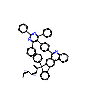 C=C(/C=C\C=C/C)C1(c2ccccc2)c2ccccc2-c2cc3c(cc21)c(-c1ccc(-c2c(-c4ccccc4)nc(-c4ccccc4)nc2-c2ccccc2)cc1)nc1ccccc13